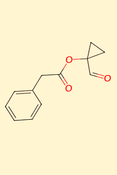 O=CC1(OC(=O)Cc2ccccc2)CC1